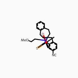 [C-]#[N+]c1ccc2c(c1)C1(NC(=S)N(CCOC)C1=O)C1(CCc3ccccc3CC1)C2